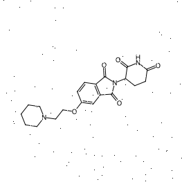 O=C1CCC(N2C(=O)c3ccc(OCCN4CCCCC4)cc3C2=O)C(=O)N1